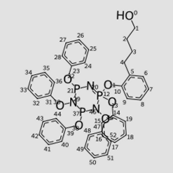 OCCCCc1ccccc1OP1(Oc2ccccc2)=NP(Oc2ccccc2)N(Oc2ccccc2)P(Oc2ccccc2)N1Oc1ccccc1